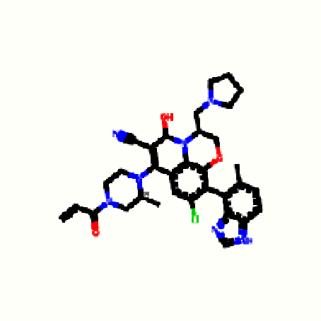 C=CC(=O)N1CCN(C2=C(C#N)C(O)N3c4c2cc(Cl)c(-c2c(C)ccc5[nH]cnc25)c4OCC3CN2CCCC2)[C@@H](C)C1